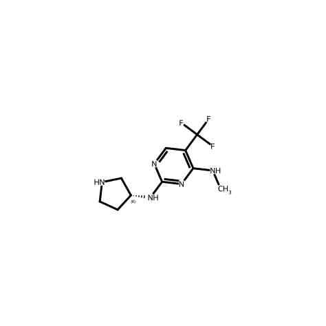 CNc1nc(N[C@@H]2CCNC2)ncc1C(F)(F)F